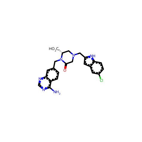 Nc1ncnc2cc(CN3C(=O)CN(Cc4cc5cc(Cl)ccc5[nH]4)C[C@H]3C(=O)O)ccc12